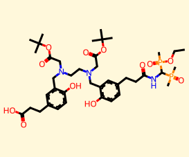 CCOP(C)(=O)C(NC(=O)CCc1ccc(O)c(CN(CCN(CC(=O)OC(C)(C)C)Cc2cc(CCC(=O)O)ccc2O)CC(=O)OC(C)(C)C)c1)P(C)(C)=O